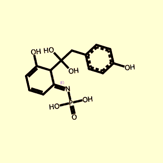 O=P(O)(O)/N=C1\C=CC=C(O)C1C(O)(O)Cc1ccc(O)cc1